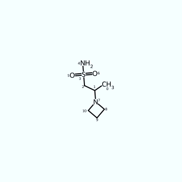 CC(CS(N)(=O)=O)N1CCC1